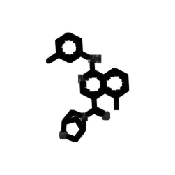 Cc1cccc(Nc2ncc(C(=O)N3CC4CC3CO4)c3c(C)cccc23)c1